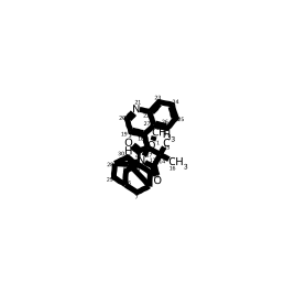 COC(=O)[C@]12CC3CC(C1)[C@@H](N1C(=O)C(C)(C)C1c1ccnc4ccccc14)C(C3)C2